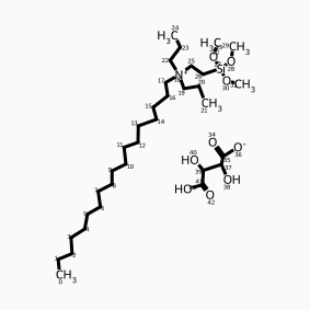 CCCCCCCCCCCCCCCCCC[N+](CCC)(CCC)CC[Si](OC)(OC)OC.O=C([O-])C(O)C(O)C(=O)O